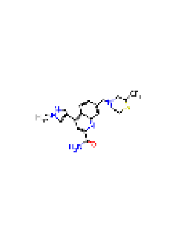 Cn1cc(-c2cc(C(N)=O)nc3cc(CN4CCSC(C(F)(F)F)C4)ccc23)cn1